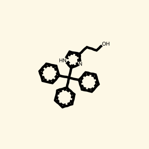 OCCc1c[nH]c(C(c2ccccc2)(c2ccccc2)c2ccccc2)n1